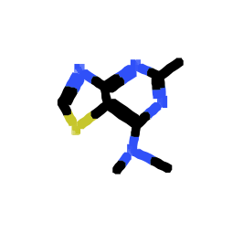 Cc1nc(N(C)C)c2scnc2n1